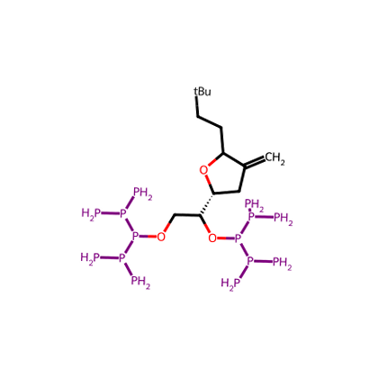 C=C1C[C@H](C(COP(P(P)P)P(P)P)OP(P(P)P)P(P)P)OC1CCC(C)(C)C